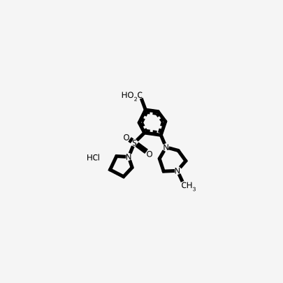 CN1CCN(c2ccc(C(=O)O)cc2S(=O)(=O)N2CCCC2)CC1.Cl